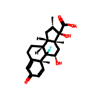 C[C@H]1C[C@H]2[C@@H]3CCC4=CC(=O)C=C[C@]4(C)[C@@]3(F)[C@@H](O)C[C@]2(C)[C@@]1(O)C(=O)O